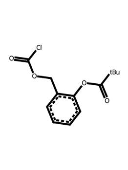 CC(C)(C)C(=O)Oc1ccccc1COC(=O)Cl